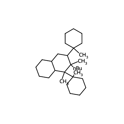 CCCCC1(C)C(C2(C)CCCCC2)CC2CCCCC2C1(C)C1(C)CCCCC1